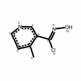 Cc1ccncc1/C(Cl)=N/O